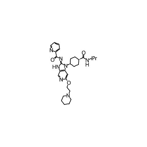 CC(C)NC(=O)[C@H]1CC[C@@H](n2/c(=N/C(=O)c3ccccn3)[nH]c3cnc(OCCN4CCCCC4)cc32)CC1